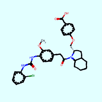 COc1cc(CC(=O)N2C3CCCCC3C[C@H]2COc2ccc(C(=O)O)cc2)ccc1NC(=O)Nc1ccccc1Br